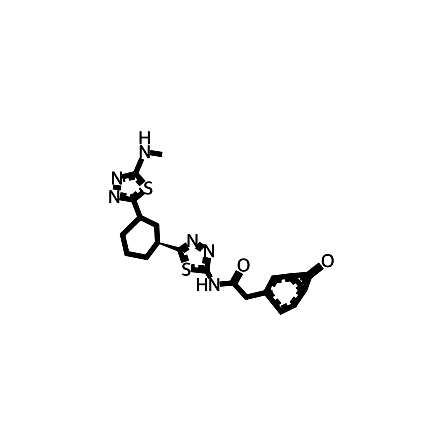 CNc1nnc(C2CCC[C@H](c3nnc(NC(=O)Cc4ccc5c(=O)c5c4)s3)C2)s1